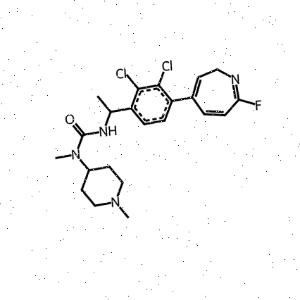 CC(NC(=O)N(C)C1CCN(C)CC1)c1ccc(C2=CCN=C(F)C=C2)c(Cl)c1Cl